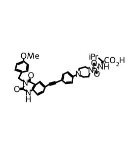 COc1ccc(Cn2c(=O)[nH]c3ccc(C#Cc4ccc(N5CCN(S(=O)(=O)N[C@@H](C(=O)O)C(C)C)CC5)cc4)cc3c2=O)cc1